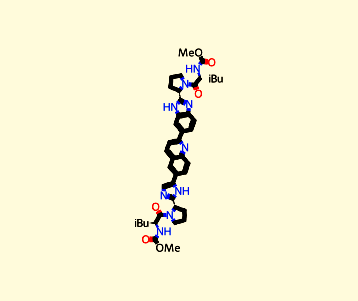 CC[C@@H](C)[C@H](NC(=O)OC)C(=O)N1CCC[C@H]1c1ncc(-c2ccc3nc(-c4ccc5nc([C@@H]6CCCN6C(=O)[C@@H](NC(=O)OC)[C@H](C)CC)[nH]c5c4)ccc3c2)[nH]1